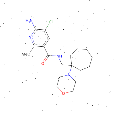 COc1nc(N)c(Cl)cc1C(=O)NCC1(N2CCOCC2)CCCCCC1